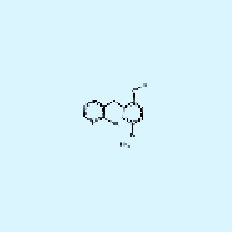 CCOc1ccc(Br)cc1Cc1cccnc1N.N